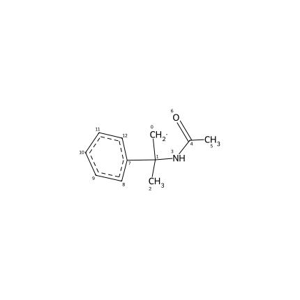 [CH2]C(C)(NC(C)=O)c1ccccc1